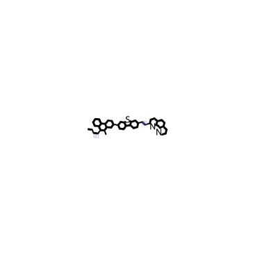 C=C/C=C\c1c(C)c2cc(-c3ccc4c(c3)sc3cc(/C=C/c5ccc6ccc7cccnc7c6n5)ccc34)ccc2c2ccccc12